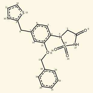 O=C1CN(c2ccc(Cc3nccs3)cc2OCc2ccccc2)S(=O)(=O)N1